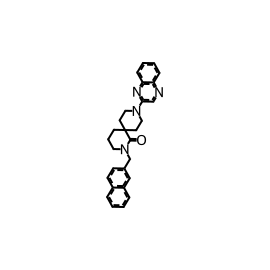 O=C1N(Cc2ccc3ccccc3c2)CCCC12CCN(c1cnc3ccccc3n1)CC2